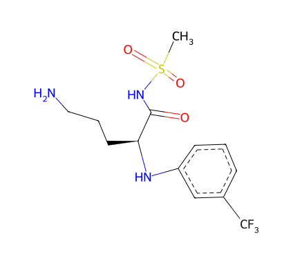 CS(=O)(=O)NC(=O)[C@H](CCCN)Nc1cccc(C(F)(F)F)c1